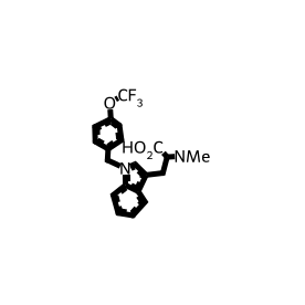 CNC(Cc1cn(Cc2ccc(OC(F)(F)F)cc2)c2ccccc12)C(=O)O